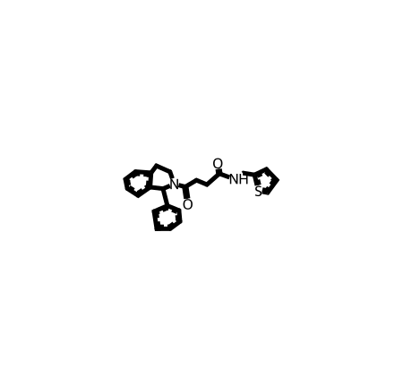 O=C(CCC(=O)N1CCc2ccccc2C1c1ccccc1)NCc1cccs1